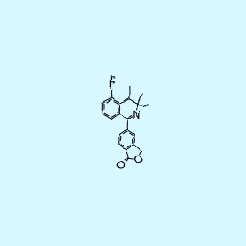 CC1c2c(F)cccc2C(c2ccc3c(c2)COC3=O)=NC1(C)C